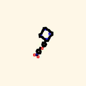 O=[N+]([O-])c1ccc(COc2ccc(C3=CC4=CC5=NC(=CC6=NC(=CC7=NC(=CC3=N4)C=C7)C=C6)C=C5)cc2)cc1